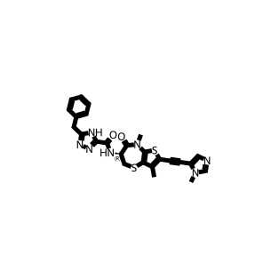 Cc1c(C#Cc2cncn2C)sc2c1SC[C@H](NC(=O)c1nnc(Cc3ccccc3)[nH]1)C(=O)N2C